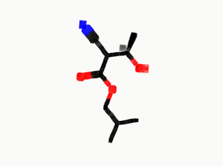 CC(C)COC(=O)C(C#N)[C@@H](C)O